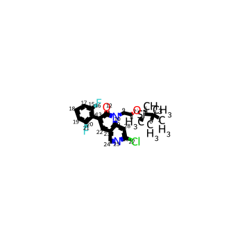 CC(C)(C)[Si](C)(C)OCCn1c(=O)c(-c2c(F)cccc2F)cc2cnc(Cl)cc21